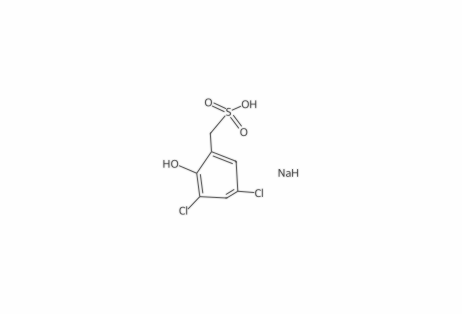 O=S(=O)(O)Cc1cc(Cl)cc(Cl)c1O.[NaH]